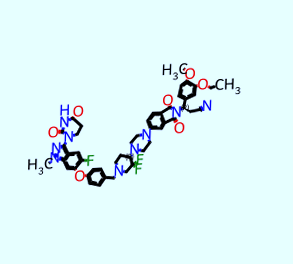 CCOc1cc([C@@H](CC#N)N2C(=O)c3ccc(N4CCN([C@@H]5CCN(Cc6ccc(Oc7cc8c(cc7F)c(N7CCC(=O)NC7=O)nn8C)cc6)CC5(F)F)CC4)cc3C2=O)ccc1OC